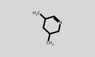 CC1C=NCC(C)C1